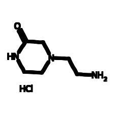 Cl.NCCN1CCNC(=O)C1